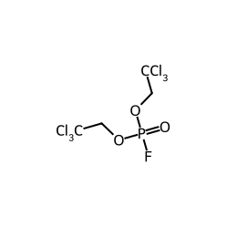 O=P(F)(OCC(Cl)(Cl)Cl)OCC(Cl)(Cl)Cl